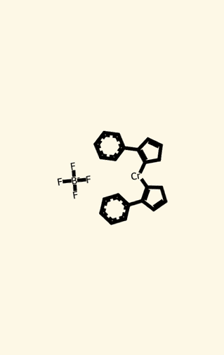 C1=CC(c2ccccc2)=[C]([Cr][C]2=C(c3ccccc3)C=CC2)C1.F[B-](F)(F)F